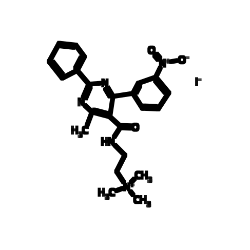 Cc1nc(-c2ccccc2)nc(-c2cccc([N+](=O)[O-])c2)c1C(=O)NCC[N+](C)(C)C.[I-]